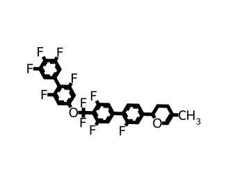 CC1=COC(c2ccc(-c3cc(F)c(C(F)(F)Oc4cc(F)c(-c5cc(F)c(F)c(F)c5)c(F)c4)c(F)c3)c(F)c2)CC1